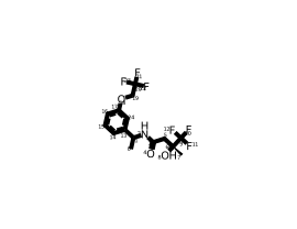 CC(NC(=O)C[C@@](C)(O)C(F)(F)F)c1cccc(OCC(F)(F)F)c1